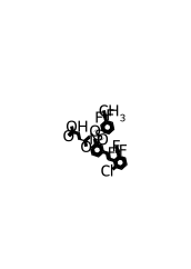 CC(F)(F)c1cccc(S(=O)(=O)N2C[C@H](CCC(=O)O)Oc3ccc(/C=C/c4c(Cl)cccc4C(F)(F)F)cc32)c1